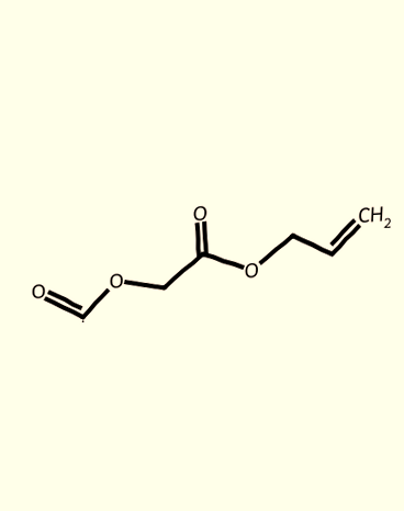 C=CCOC(=O)CO[C]=O